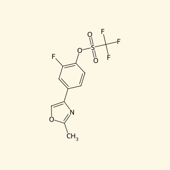 Cc1nc(-c2ccc(OS(=O)(=O)C(F)(F)F)c(F)c2)co1